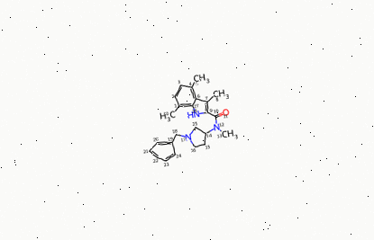 Cc1ccc(C)c2c(C)c(C(=O)N(C)C3CCN(Cc4ccccc4)C3)[nH]c12